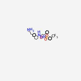 NCCCc1ccc2c(c1)CCCC2NC(=O)CC(NS(=O)(=O)c1cccc(C(F)(F)F)c1)c1ccccc1